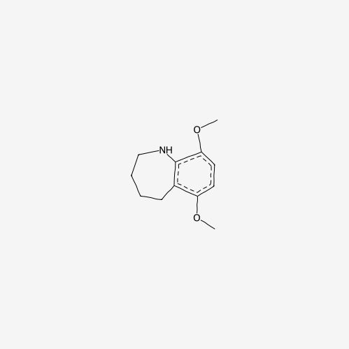 COc1ccc(OC)c2c1CCCCN2